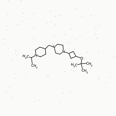 CC(C)N1CCC(CN2CCN(C3CC(OC(C)(C)C)C3)CC2)CC1